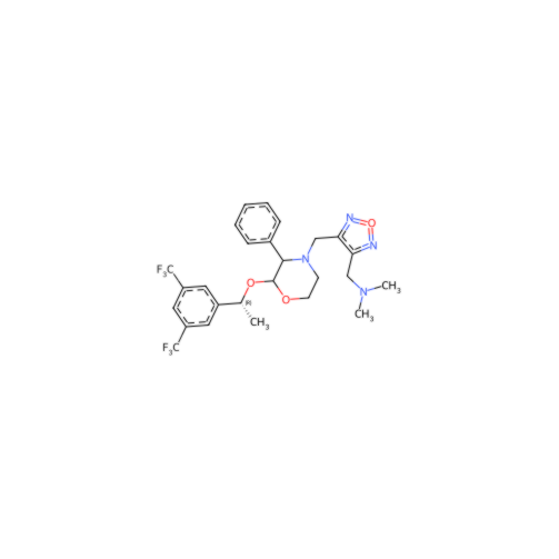 C[C@@H](OC1OCCN(Cc2nonc2CN(C)C)C1c1ccccc1)c1cc(C(F)(F)F)cc(C(F)(F)F)c1